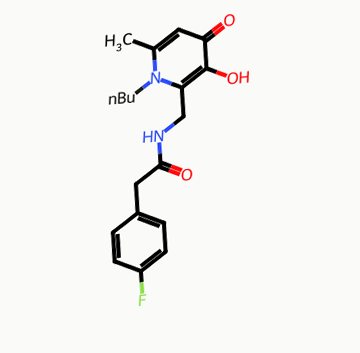 CCCCn1c(C)cc(=O)c(O)c1CNC(=O)Cc1ccc(F)cc1